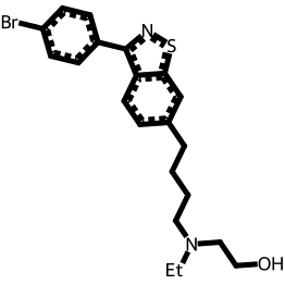 CCN(CCO)CCCCc1ccc2c(-c3ccc(Br)cc3)nsc2c1